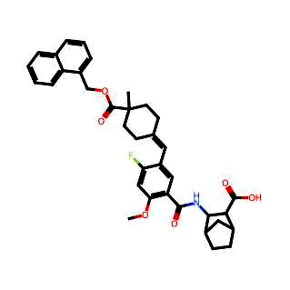 COc1cc(F)c(C=C2CCC(C)(C(=O)OCc3cccc4ccccc34)CC2)cc1C(=O)NC1C2CCC(C2)C1C(=O)O